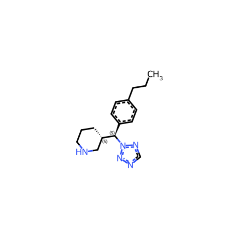 CCCc1ccc([C@H]([C@H]2CCCNC2)n2ncnn2)cc1